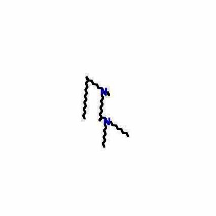 C=C(CCCCCCCCCCCC)CCCCCN(CC)CCCCCCCC(=C)CN(CCCCCCCC)CCCCCCCC